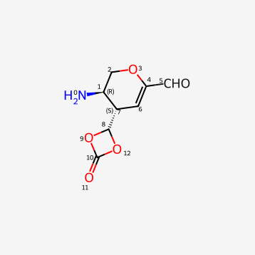 N[C@H]1COC(C=O)=C[C@@H]1C1OC(=O)O1